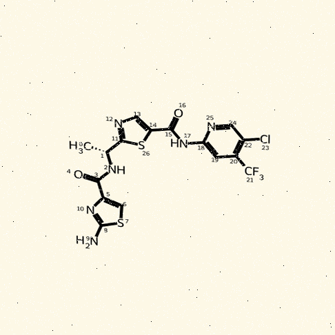 C[C@@H](NC(=O)c1csc(N)n1)c1ncc(C(=O)Nc2cc(C(F)(F)F)c(Cl)cn2)s1